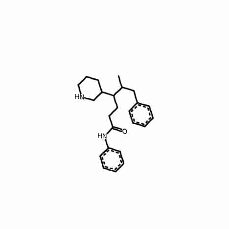 CC(Cc1ccccc1)C(CCC(=O)Nc1ccccc1)C1CCCNC1